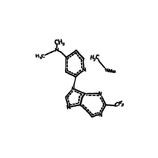 CN(C)c1ccnc(-n2cnc3cnc(C(F)(F)F)nc32)c1.CNC